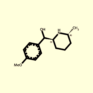 COc1ccc(C(O)[C@@H]2CCC[C@@H](C)N2)cc1